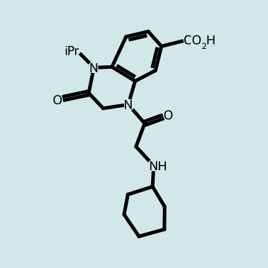 CC(C)N1C(=O)CN(C(=O)CNC2CCCCC2)c2cc(C(=O)O)ccc21